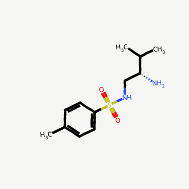 Cc1ccc(S(=O)(=O)NC[C@@H](N)C(C)C)cc1